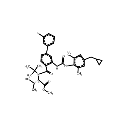 COC(=O)[C@H](C(C)O)N(C(=O)c1ccc(-c2cccc(F)c2)cc1NC(=O)Nc1c(C)cc(CC2CC2)cc1C)C(C)(C)C